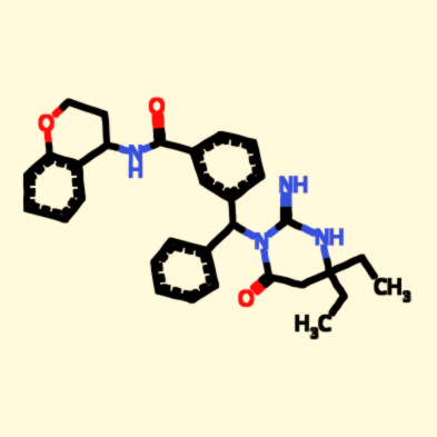 CCC1(CC)CC(=O)N(C(c2ccccc2)c2cccc(C(=O)NC3CCOc4ccccc43)c2)C(=N)N1